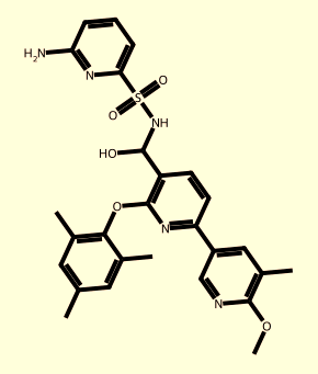 COc1ncc(-c2ccc(C(O)NS(=O)(=O)c3cccc(N)n3)c(Oc3c(C)cc(C)cc3C)n2)cc1C